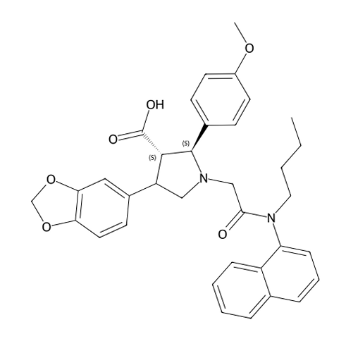 CCCCN(C(=O)CN1CC(c2ccc3c(c2)OCO3)[C@H](C(=O)O)[C@H]1c1ccc(OC)cc1)c1cccc2ccccc12